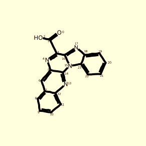 O=C(O)c1nc2cc3ccccc3nc2n2c1nc1ccccc12